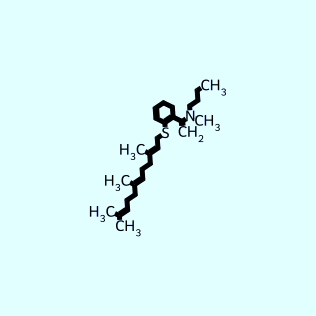 C=C(C1=C(SC/C=C(\C)CC/C=C(\C)CCC=C(C)C)C=CCC1)N(C)CCCC